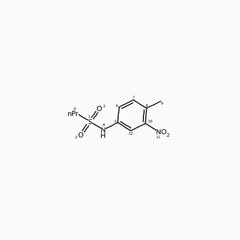 CCCS(=O)(=O)Nc1ccc(C)c([N+](=O)[O-])c1